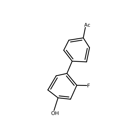 CC(=O)c1ccc(-c2ccc(O)cc2F)cc1